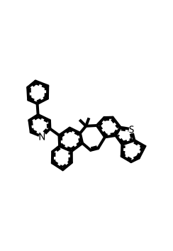 CC1(C)c2cc(-c3cc(-c4ccccc4)ccn3)c3ccccc3c2C=Cc2c1ccc1sc3ccccc3c21